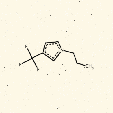 CCCn1ccc(C(F)(F)F)c1